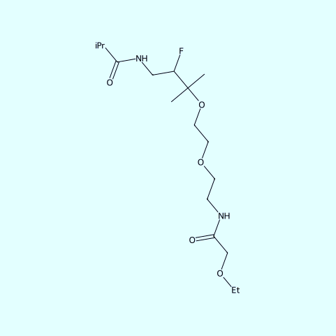 CCOCC(=O)NCCOCCOC(C)(C)C(F)CNC(=O)C(C)C